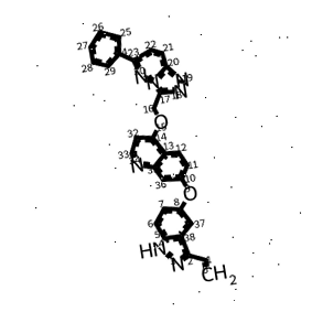 C=Cc1n[nH]c2ccc(Oc3ccc4c(OCc5nnc6ccc(-c7ccccc7)nn56)ccnc4c3)cc12